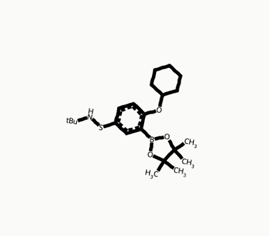 CC(C)(C)NSc1ccc(OC2CCCCC2)c(B2OC(C)(C)C(C)(C)O2)c1